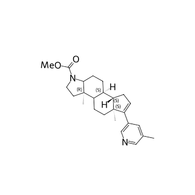 COC(=O)N1CC[C@]2(C)C3CC[C@]4(C)C(c5cncc(C)c5)=CC[C@H]4[C@@H]3CCC12